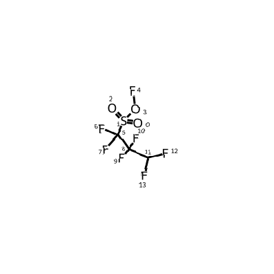 O=S(=O)(OF)C(F)(F)C(F)(F)C(F)F